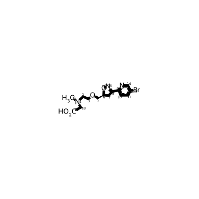 CN(CCOC[C@@H]1CC(c2ccc(Br)cn2)=NO1)CC(=O)O